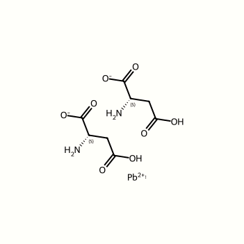 N[C@@H](CC(=O)O)C(=O)[O-].N[C@@H](CC(=O)O)C(=O)[O-].[Pb+2]